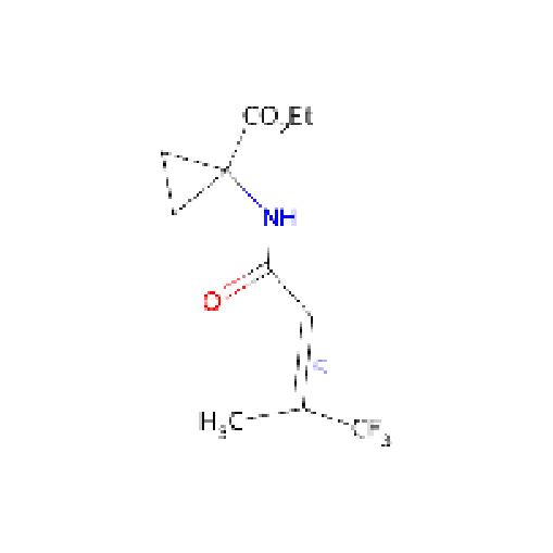 CCOC(=O)C1(NC(=O)/C=C(\C)C(F)(F)F)CC1